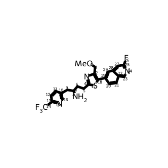 COCc1nc(CCC(N)Cc2ccc(C(F)(F)F)nc2)sc1-c1ccc2cnc(F)cc2c1